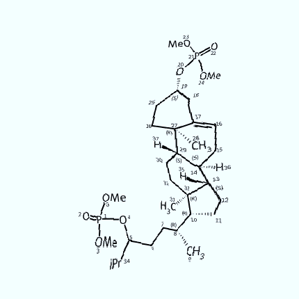 COP(=O)(OC)OC(CC[C@@H](C)[C@H]1CC[C@H]2[C@@H]3CC=C4C[C@@H](OP(=O)(OC)OC)CC[C@]4(C)[C@H]3CC[C@]12C)C(C)C